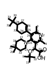 Cc1nc(C)c(C(OC(C)(C)C)C(=O)O)c(N2CCC(C)(C)CC2)c1C1=CCC(C(C)(C)C)CC1